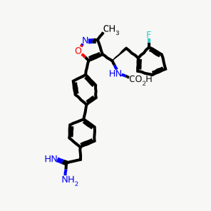 Cc1noc(-c2ccc(-c3ccc(CC(=N)N)cc3)cc2)c1[C@@H](Cc1ccccc1F)NC(=O)O